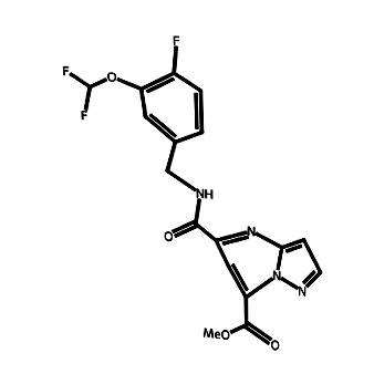 COC(=O)c1cc(C(=O)NCc2ccc(F)c(OC(F)F)c2)nc2ccnn12